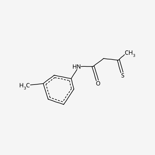 CC(=S)CC(=O)Nc1cccc(C)c1